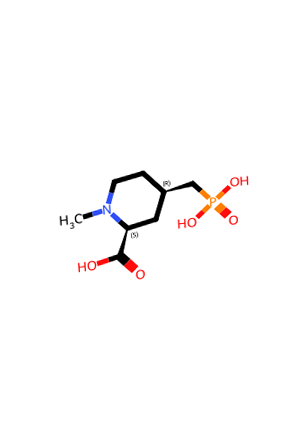 CN1CC[C@@H](CP(=O)(O)O)C[C@H]1C(=O)O